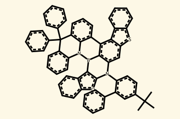 CC(C)(C)c1ccc(N2c3cc4sc5ccccc5c4c4c3B(c3c2oc2ccccc32)N2c3ccccc3C(c3ccccc3)(c3ccccc3)c3cccc-4c32)c(-c2ccccc2)c1